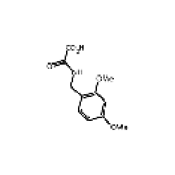 COc1ccc(CNC(=O)C(=O)O)c(OC)c1